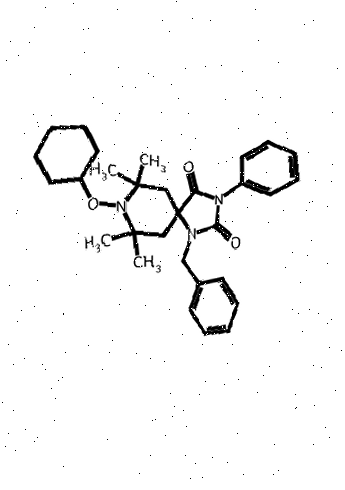 CC1(C)CC2(CC(C)(C)N1OC1CCCCC1)C(=O)N(c1ccccc1)C(=O)N2Cc1ccccc1